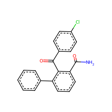 NC(=O)c1cccc(-c2ccccc2)c1C(=O)c1ccc(Cl)cc1